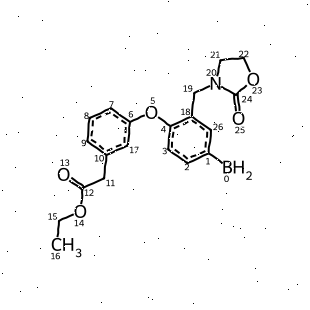 Bc1ccc(Oc2cccc(CC(=O)OCC)c2)c(CN2CCOC2=O)c1